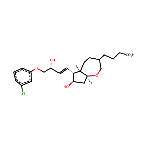 O=C(O)CCC[C@@H]1CC[C@@H]2[C@@H](/C=C/[C@@H](O)COc3cccc(Cl)c3)[C@H](O)C[C@@H]2OC1